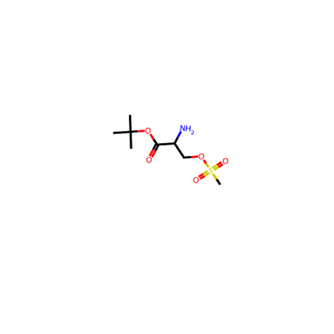 CC(C)(C)OC(=O)C(N)COS(C)(=O)=O